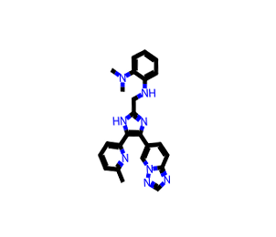 Cc1cccc(-c2[nH]c(CNc3ccccc3N(C)C)nc2-c2ccc3ncnn3c2)n1